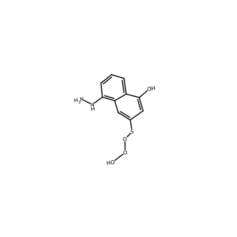 NNc1cccc2c(O)cc(SOOO)cc12